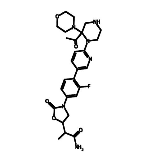 CC(=O)C1(N2CCOCC2)CNCCN1c1ccc(-c2ccc(N3CC(C(C)C(N)=O)OC3=O)cc2F)cn1